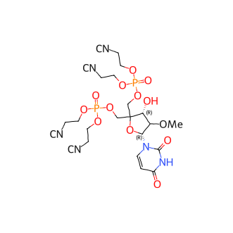 [C-]#[N+]CCOP(=O)(OCC[N+]#[C-])OCC1(COP(=O)(OCC[N+]#[C-])OCC[N+]#[C-])O[C@@H](n2ccc(=O)[nH]c2=O)C(OC)[C@H]1O